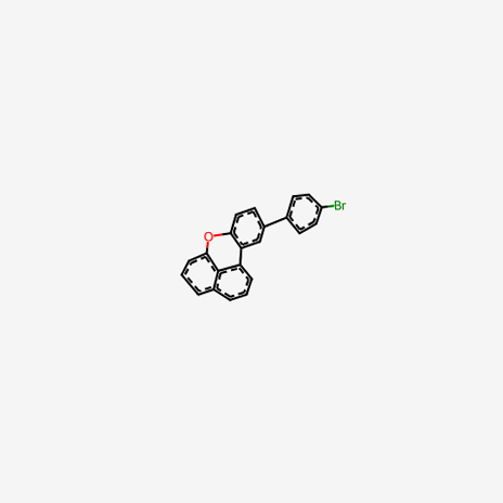 Brc1ccc(-c2ccc3c(c2)-c2cccc4cccc(c24)O3)cc1